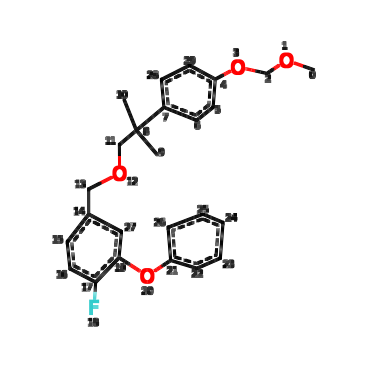 COCOc1ccc(C(C)(C)COCc2ccc(F)c(Oc3ccccc3)c2)cc1